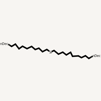 CCCCCCCCCCCCCCCCCCCC[Si]CCCCCCCCCCCCCCCCCCCC